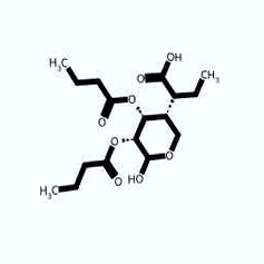 CCCC(=O)O[C@@H]1[C@H](C(CC)C(=O)O)COC(O)[C@@H]1OC(=O)CCC